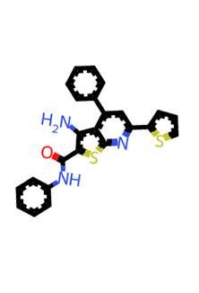 Nc1c(C(=O)Nc2ccccc2)sc2nc(-c3cccs3)cc(-c3ccccc3)c12